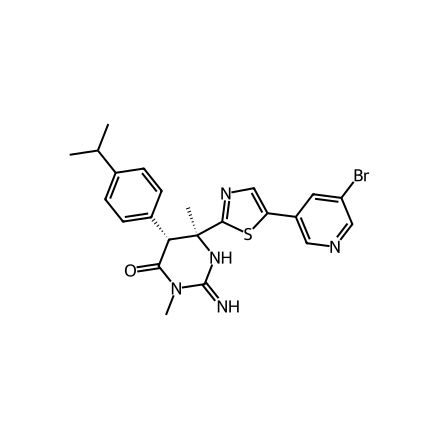 CC(C)c1ccc([C@H]2C(=O)N(C)C(=N)N[C@]2(C)c2ncc(-c3cncc(Br)c3)s2)cc1